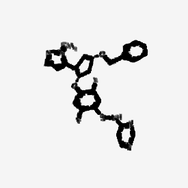 Cn1nccc1C1C[C@H](OCc2ccccc2)C[C@@H]1Oc1cc(F)c(SNc2ccncn2)cc1F